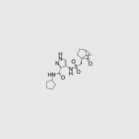 CC1(C)C2CC[C@@]1(CS(=O)(=O)Nc1c[nH]nc1C(=O)NC1CCCC1)C(=O)C2